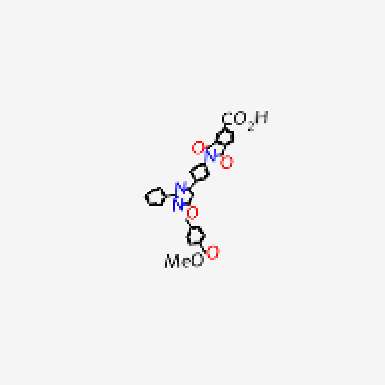 COC(=O)c1ccc(COc2cc(-c3ccc(N4C(=O)c5ccc(C(=O)O)cc5C4=O)cc3)nc(-c3ccccc3)n2)cc1